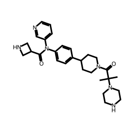 CC(C)(C(=O)N1CCC(c2ccc(N(C(=O)C3CNC3)c3cccnc3)cc2)CC1)N1CCNCC1